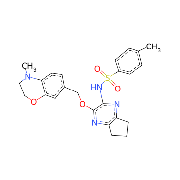 Cc1ccc(S(=O)(=O)Nc2nc3c(nc2OCc2ccc4c(c2)OCCN4C)CCC3)cc1